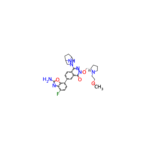 COCCN1CCC[C@H]1COn1nc(N2CC3CCC(C2)N3)c2ccc(-c3ccc(F)c4nc(N)oc34)cc2c1=O